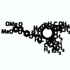 CC[C@H]1OC(=O)[C@H](C)[C@@H](O[C@H]2C[C@@](C)(OC)[C@@H](O)[C@H](C)O2)[C@H](C)[C@@H](O[C@@H]2O[C@H](C)C[C@H](N(C)C)[C@H]2O)[C@](C)(O)C[C@@H](C)C(NCCC(=O)Oc2ccc(-c3cc(=O)c4c(OC)cc(OC)cc4o3)cc2)[C@H](C)[C@@H](O)[C@]1(C)O